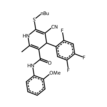 CCCCSC1=C(C#N)C(c2cc(F)c(F)cc2F)C(C(=O)Nc2ccccc2OC)=C(C)N1